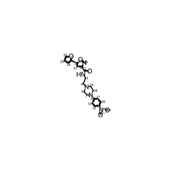 O=C(NCCN1CCN(c2ccc([N+](=O)[O-])cc2)CC1)c1cc(-c2ccco2)on1